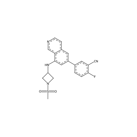 CS(=O)(=O)N1CC(Nc2cc(-c3ccc(F)c(C#N)c3)cc3ccncc23)C1